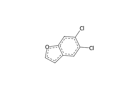 Clc1cc2ccoc2cc1Cl